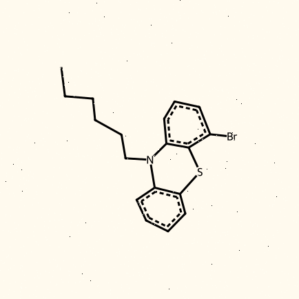 CCCCCCN1c2ccccc2Sc2c(Br)cccc21